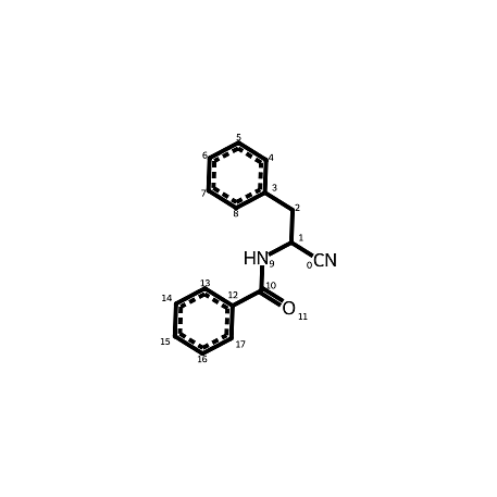 N#CC(Cc1ccccc1)NC(=O)c1ccccc1